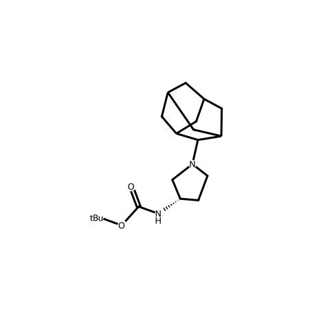 CC(C)(C)OC(=O)N[C@H]1CCN(C2C3CC4CC(C3)CC2C4)C1